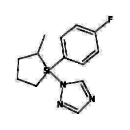 CC1CCC[Si]1(c1ccc(F)cc1)n1cncn1